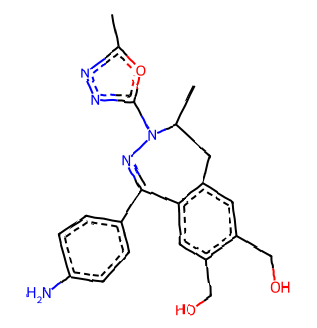 Cc1nnc(N2N=C(c3ccc(N)cc3)c3cc(CO)c(CO)cc3CC2C)o1